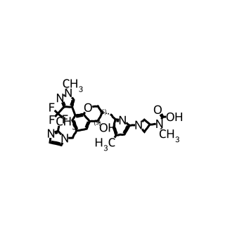 Cc1cc(C[C@H]2COc3c(-c4cn(C)nc4C(F)(F)F)cc(Cn4ccnc4C)cc3[C@H]2O)nc(N2CC(N(C)C(=O)O)C2)c1